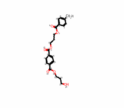 O=C(O)c1ccc(C(=O)OCCCOC(=O)c2ccc(C(=O)OCCCO)cc2)cc1